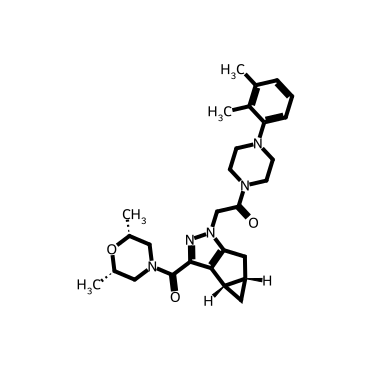 Cc1cccc(N2CCN(C(=O)Cn3nc(C(=O)N4C[C@@H](C)O[C@@H](C)C4)c4c3C[C@@H]3C[C@H]43)CC2)c1C